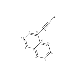 [CH2]C#Cc1cncc2ccccc12